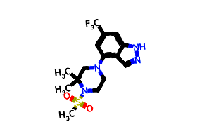 CC1(C)CN(c2cc(C(F)(F)F)cc3[nH]ncc23)CCN1S(C)(=O)=O